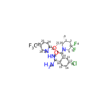 C[C@@H]1CC(F)(F)CN(C(=O)c2cc(Cl)ccc2C(=N)N)[C@@H]1COc1ccc(C(F)(F)F)cn1